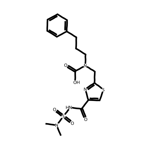 CN(C)S(=O)(=O)NC(=O)c1csc(CN(CCCc2ccccc2)C(=O)O)n1